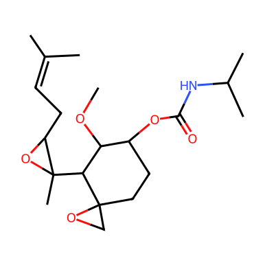 COC1C(OC(=O)NC(C)C)CCC2(CO2)C1C1(C)OC1CC=C(C)C